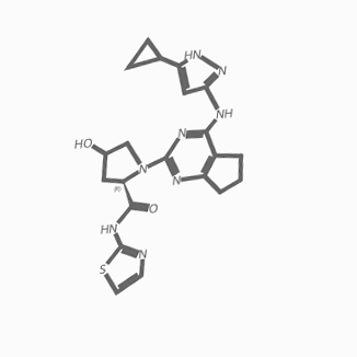 O=C(Nc1nccs1)[C@H]1CC(O)CN1c1nc2c(c(Nc3cc(C4CC4)[nH]n3)n1)CCC2